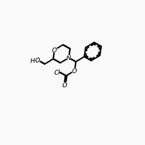 O=C(Cl)OC(c1ccccc1)N1CCOC(CO)C1